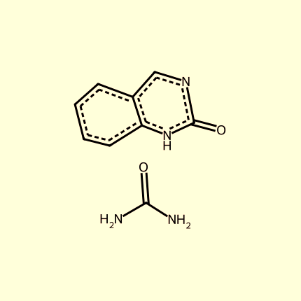 NC(N)=O.O=c1ncc2ccccc2[nH]1